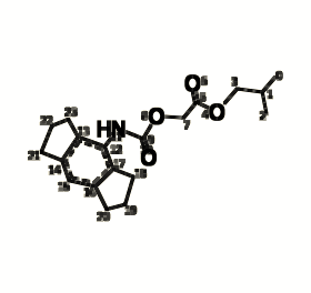 CC(C)COC(=O)COC(=O)Nc1c2c(cc3c1CCC3)CCC2